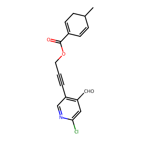 CC1C=CC(C(=O)OCC#Cc2cnc(Cl)cc2C=O)=CC1